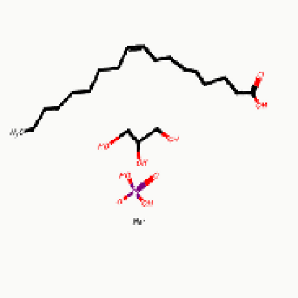 CCCCCCCC/C=C\CCCCCCCC(=O)O.O=P([O-])(O)O.OCC(O)CO.[Na+]